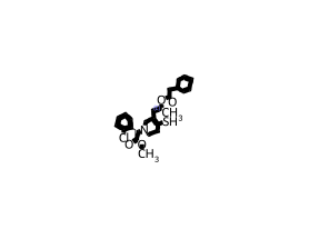 COC(=O)[C@H](c1ccccc1Cl)N1CCC(S)=C(/C=C(\C)OC(=O)CC2C=CC=CC2)C1